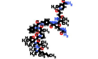 CCCCCC(C)C(C(=O)N[C@H](C(=O)N(C)[C@@H]([C@@H](C)CC)[C@@H](CC(=O)N1CCC[C@H]1[C@H](OC)[C@@H](C)C(=O)N[C@@H](Cc1ccccc1)C(=O)NCc1ccc(NC(=O)[C@H](CCCNC(N)=O)NC(=O)C(NC(=O)CCC(=O)N2CCC(C(N)=O)CC2C)C(C)C)cc1)OC)C(C)C)N(C)C